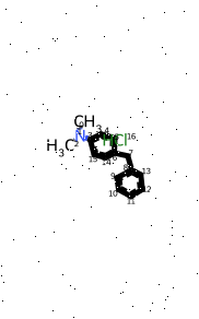 CN(C)c1ccc(Cc2ccccc2)cc1.Cl